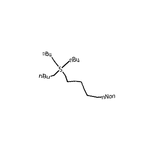 CCCCCCCCCCCCS(CCCC)(CCCC)CCCC